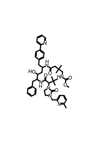 COC(=O)NCC(C)(C)CC(=O)NC(Cc1ccc(-c2ccccn2)cc1)CC(O)C(Cc1ccccc1)NC(=O)C(N1CCN(Cc2cccc(C)n2)C1=O)C(C)(C)C